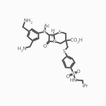 CC(=O)N(c1cc(CN)cc(CN)c1)C1C(=O)N2CC(CSc3ccc(S(=O)(=O)NCC(C)C)cc3)(C(=O)O)CS[C@H]12